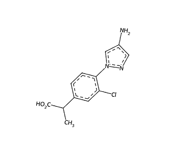 CC(C(=O)O)c1ccc(-n2cc(N)cn2)c(Cl)c1